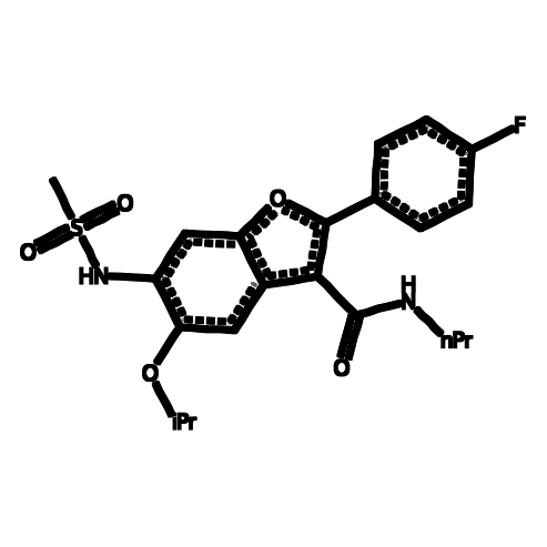 CCCNC(=O)c1c(-c2ccc(F)cc2)oc2cc(NS(C)(=O)=O)c(OC(C)C)cc12